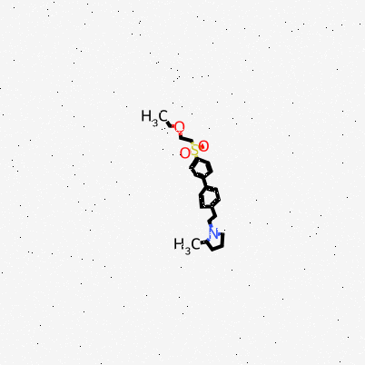 CCOCCS(=O)(=O)c1ccc(-c2ccc(CCN3CCCC3C)cc2)cc1